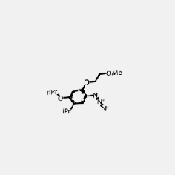 CCCOc1cc(OCCOC)c(N=[N+]=[N-])cc1C(C)C